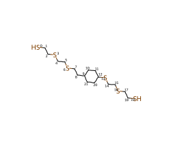 SCCSCCSCCC1CCC(SCCSCCS)CC1